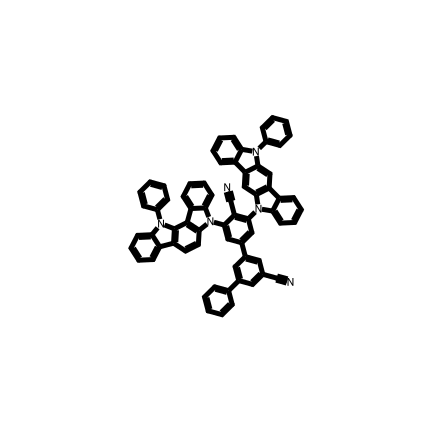 N#Cc1cc(-c2ccccc2)cc(-c2cc(-n3c4ccccc4c4cc5c(cc43)c3ccccc3n5-c3ccccc3)c(C#N)c(-n3c4ccccc4c4c3ccc3c5ccccc5n(-c5ccccc5)c34)c2)c1